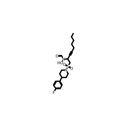 CCCCCC#CC(CS(=O)(=O)N1CCC(c2ccc(F)cc2)CC1)N(O)C=O